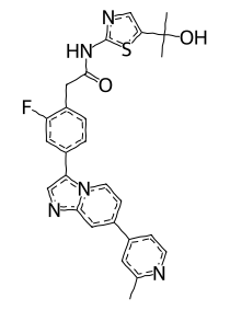 Cc1cc(-c2ccn3c(-c4ccc(CC(=O)Nc5ncc(C(C)(C)O)s5)c(F)c4)cnc3c2)ccn1